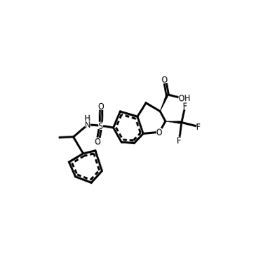 CC(NS(=O)(=O)c1ccc2c(c1)C[C@@H](C(=O)O)[C@@H](C(F)(F)F)O2)c1ccccc1